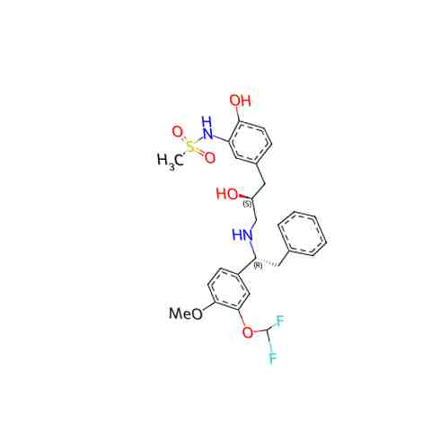 COc1ccc([C@@H](Cc2ccccc2)NC[C@@H](O)Cc2ccc(O)c(NS(C)(=O)=O)c2)cc1OC(F)F